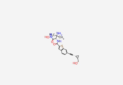 CC(C)(N)[C@H](NC(=O)c1cc2ccc(C#C[C@@H]3CC3CO)cc2s1)C(=O)NO